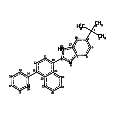 CC(C)(C)c1ccc2nc(-c3ccc(-c4ccccn4)c4ccccc34)[nH]c2c1